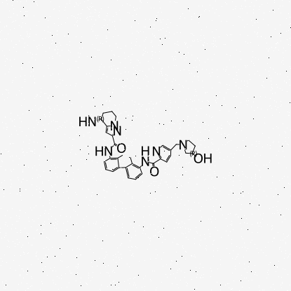 CN[C@@H]1CCCn2nc(C(=O)Nc3cccc(-c4cccc(NC(=O)c5ccc(CN6CC[C@@H](O)C6)cn5)c4C)c3C)cc21